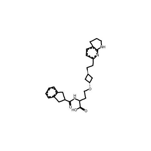 O=C(NC(CCO[C@H]1C[C@H](CCc2ccc3c(n2)NCCC3)C1)C(=O)O)C1Cc2ccccc2C1